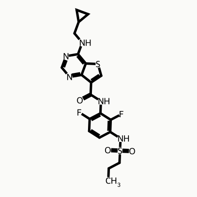 CCCS(=O)(=O)Nc1ccc(F)c(NC(=O)c2csc3c(NCC4CC4)ncnc23)c1F